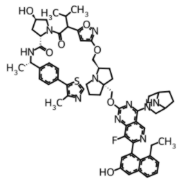 CCc1cccc2cc(O)cc(-c3ncc4c(N5CC6CCC(C5)N6)nc(OC[C@]56CCCN5[C@@H](COc5cc(C(C(=O)N7C[C@H](O)C[C@H]7C(=O)N[C@@H](C)c7ccc(-c8scnc8C)cc7)C(C)C)on5)CC6)nc4c3F)c12